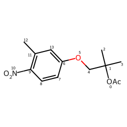 CC(=O)OC(C)(C)COc1ccc([N+](=O)[O-])c(C)c1